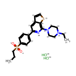 CCCS(=O)(=O)c1ccc(-c2cc3ccsc3c(N3CCN(CC)CC3)n2)cc1.Cl.Cl